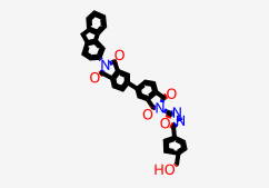 O=C1c2ccc(-c3ccc4c(c3)C(=O)N(c3nnc(-c5ccc(CO)cc5)o3)C4=O)cc2C(=O)N1c1ccc2c(c1)-c1ccccc1C2